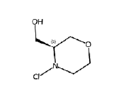 OC[C@H]1COCCN1Cl